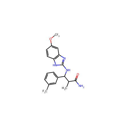 CC(C(N)=O)C(Nc1nc2cc(OC(F)(F)F)ccc2[nH]1)c1cccc(C(F)(F)F)c1